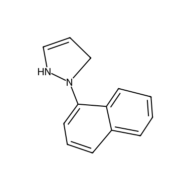 C1=CNN(c2cccc3ccccc23)C1